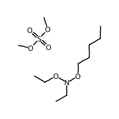 CCCCCON(CC)OCC.COS(=O)(=O)OC